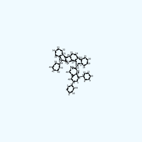 c1ccc(-c2cc(-c3ccccc3)c3nc(-n4c5ccccc5c5ccc6c(sc7c6c6ccccc6n7-c6ccccc6)c54)ncc3c2)cc1